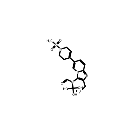 CCc1nc2ccc(C3=CCN(S(C)(=O)=O)CC3)cn2c1N(C=O)C(O)(O)O